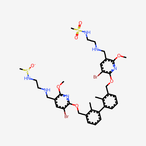 COc1nc(OCc2cccc(-c3cccc(COc4nc(OC)c(CNCCNS(C)(=O)=O)cc4Br)c3C)c2C)c(Br)cc1CNCCN[S+](C)[O-]